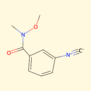 [C-]#[N+]c1cccc(C(=O)N(C)OC)c1